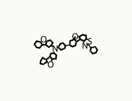 c1ccc(-c2nc3c(ccc4oc5cc(-c6ccc(N(c7ccc8oc9ccccc9c8c7)c7ccc8oc9ccccc9c8c7)cc6)ccc5c43)s2)cc1